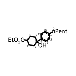 CCCCCc1ccc(C2(O)CCC(C(=O)OCC)CC2)cc1